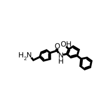 NCc1ccc(C(=O)Nc2cc(-c3ccccc3)ccc2O)cc1